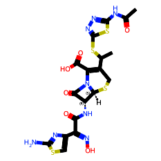 CC(=O)Nc1nnc(SC(C)C2=C(C(=O)O)N3C(=O)[C@@H](NC(=O)C(=NO)c4csc(N)n4)[C@@H]3SC2)s1